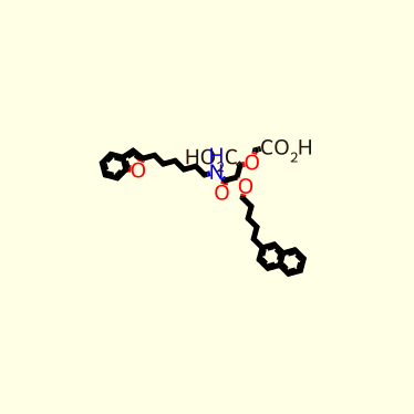 O=C(O)COC(C(=O)O)C(OCCCCCc1ccc2ccccc2c1)C(=O)NCCCCCCc1cc2ccccc2o1